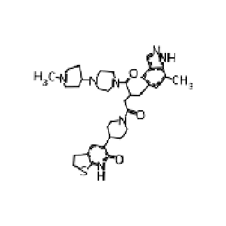 Cc1cc(CC(CC(=O)N2CCC(c3cc4c([nH]c3=O)SCC4)CC2)C(=O)N2CCN(C3CCN(C)CC3)CC2)cc2cn[nH]c12